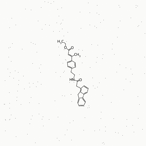 CCOC(=O)C=C(C)c1ccc(CCNC(=O)Cc2cccc3c2Cc2ccccc2-3)cc1